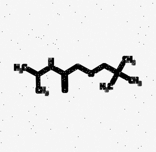 CC(C)NC(=O)COCC(C)(C)C